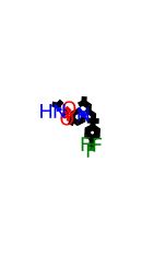 CC(C)=CC(CC(C)(C)c1ccc(C(F)(F)F)cc1)N1CCC(C)(OC(=O)NC(C)C)CC1